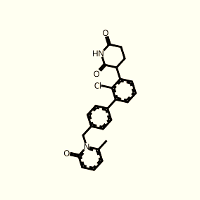 Cc1cccc(=O)n1Cc1ccc(-c2cccc(C3CCC(=O)NC3=O)c2Cl)cc1